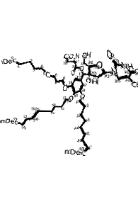 CCCCCCCCCCCCCCCCCCOc1cc(C(OC(=O)CCC(=O)O)[C@]2(O)C[C@H](n3cc(C)c(=O)[nH]c3=O)O[C@@H]2CO)cc(OCCCCCCCCCCCCCCCCCC)c1OCCCCCCCCCCCCCCCCCC